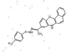 C/C(=N\NSc1ccc(C)cc1)c1ccc2c(c1)Nc1ccc3ccccc3c1O2